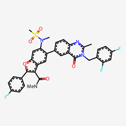 CNC(=O)c1c(-c2ccc(F)cc2)oc2cc(N(C)S(C)(=O)=O)c(-c3ccc4nc(C)n(Cc5ccc(F)cc5F)c(=O)c4c3)cc12